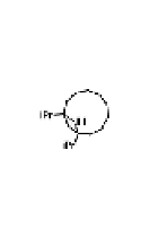 CC(C)C12CCCCCCCCC(C(C)C)(C1)N2